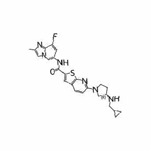 Cc1cn2cc(NC(=O)c3cc4ccc(N5CC[C@@H](NCC6CC6)C5)nc4s3)cc(F)c2n1